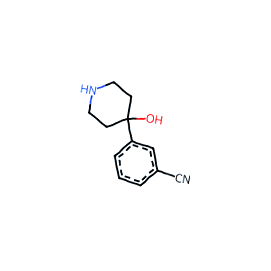 N#Cc1cccc(C2(O)CCNCC2)c1